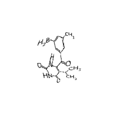 Bc1cc(C)cc(C(=O)c2[nH]c(=O)[nH]c(=O)c2C(C)C)c1